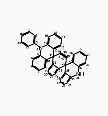 c1ccc(N2c3ccccc3C3(c4ccccc42)c2ccccc2C2(c4ccccc4Nc4ccccc42)c2ccccc23)cc1